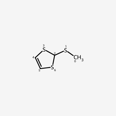 CSC1SC=CS1